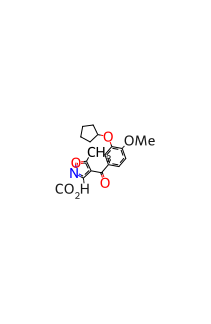 COc1ccc(C(=O)c2c(C(=O)O)noc2C)cc1OC1CCCC1